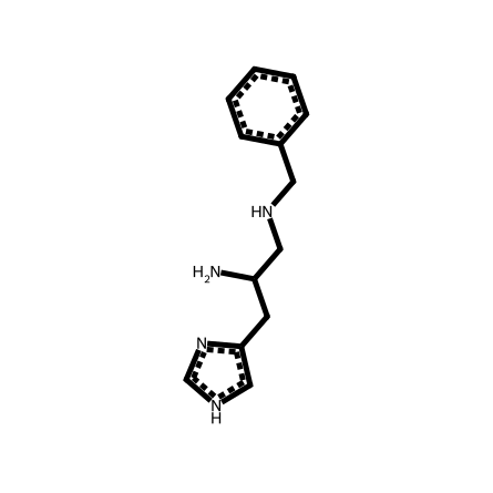 NC(CNCc1ccccc1)Cc1c[nH]cn1